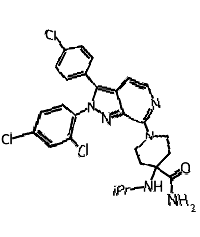 CC(C)NC1(C(N)=O)CCN(c2nccc3c(-c4ccc(Cl)cc4)n(-c4ccc(Cl)cc4Cl)nc23)CC1